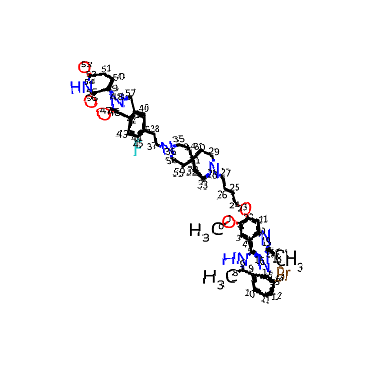 COc1cc2c(NC(C)c3cccc(Br)c3)nc(C)nc2cc1OCCCCN1CCC2(CC1)CCN(CCc1cc3c(cc1F)C(=O)N(C1CCC(=O)NC1=O)C3)CC2